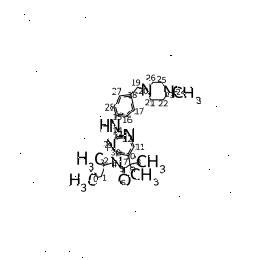 CC[C@H](C)N1C(=O)C(C)(C)c2cnc(Nc3ccc(CN4CCN(C)CC4)cc3)nc21